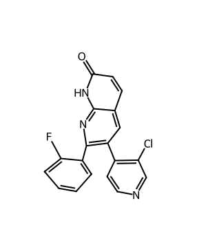 O=c1ccc2cc(-c3ccncc3Cl)c(-c3ccccc3F)nc2[nH]1